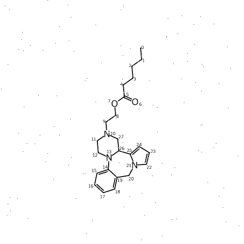 CCCCCC(=O)OCCN1CCN2c3ccccc3Cn3cccc3C2C1